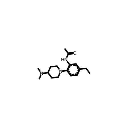 CCc1ccc(N2CCC(N(C)C)CC2)c(NC(C)=O)c1